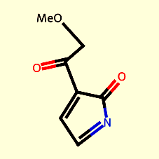 COCC(=O)C1=CC=NC1=O